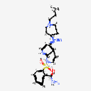 N#CCCN1CCC(Nc2[c]cnc3c2ccn3S(=O)(=O)c2ccccc2C(N)=O)CC1